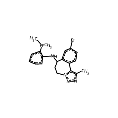 Cc1nnn2c1-c1ccc(Br)cc1C(Nc1ccccc1N(C)C)CC2